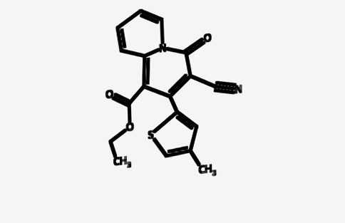 CCOC(=O)c1c(-c2cc(C)cs2)c(C#N)c(=O)n2ccccc12